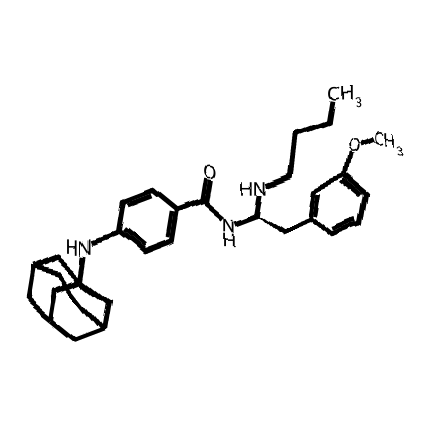 CCCCN[C@@H](Cc1cccc(OC)c1)NC(=O)c1ccc(NC23CC4CC(CC(C4)C2)C3)cc1